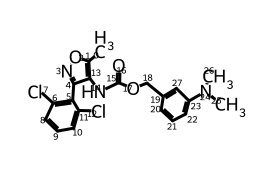 Cc1onc(-c2c(Cl)cccc2Cl)c1NC(=O)OCc1cccc(N(C)C)c1